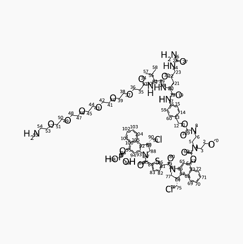 COCCN(CCN(C)C(=O)OCc1ccc(NC(=O)[C@H](CCCNC(N)=O)NC(=O)[C@@H](NC(=O)CCOCCOCCOCCOCCOCCOCCN)C(C)C)cc1)C(=O)Oc1cc2c(c3ccccc13)[C@H](CCl)CN2C(=O)c1ccc(C(=O)N2C[C@@H](CCl)c3c2cc(OP(O)O)c2ccccc32)s1